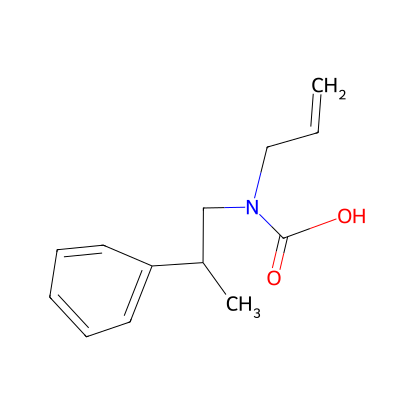 C=CCN(CC(C)c1ccccc1)C(=O)O